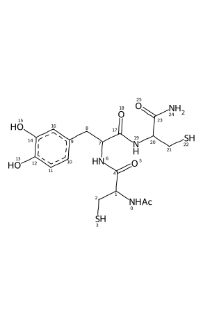 CC(=O)NC(CS)C(=O)NC(Cc1ccc(O)c(O)c1)C(=O)NC(CS)C(N)=O